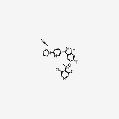 C[C@@H](Oc1cc2c(-c3ccc(N4CCC[C@@H]4CC#N)nc3)n[nH]c2cc1F)c1c(Cl)cncc1Cl